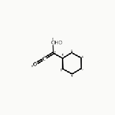 O=C=C(C=O)C1CCCCC1